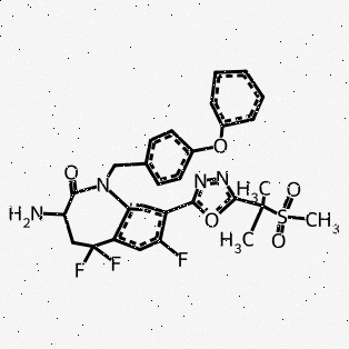 CC(C)(c1nnc(-c2cc3c(cc2F)C(F)(F)CC(N)C(=O)N3Cc2ccc(Oc3ccccc3)cc2)o1)S(C)(=O)=O